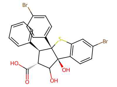 O=C(O)[C@H]1C(O)[C@@]2(O)c3ccc(Br)cc3S[C@@]2(c2ccc(Br)cc2)[C@@H]1c1ccccc1